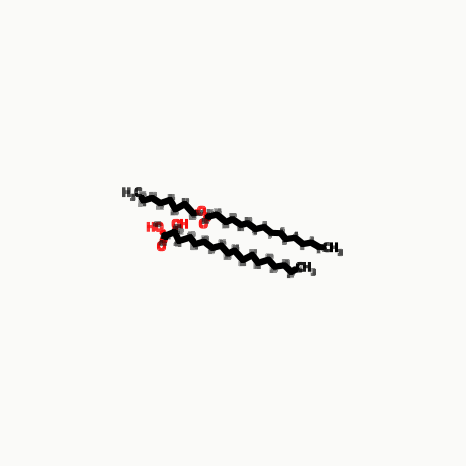 CCCCCCCCCCCCCCCC(=O)OCCCCCCCC.CCCCCCCCCCCCCCCCC(O)C(=O)O